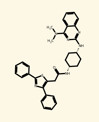 CN(C)c1nc(N[C@H]2CC[C@@H](NC(=O)Cc3sc(-c4ccccc4)nc3-c3ccccc3)CC2)nc2ccccc12